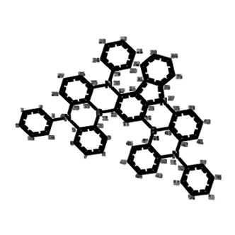 c1ccc(N2c3ccccc3B3c4cc5c6c(c4N(c4ccccc4)c4cccc2c43)c2ccccc2n6-c2cccc3c2B5c2ccccc2N3c2ccccc2)cc1